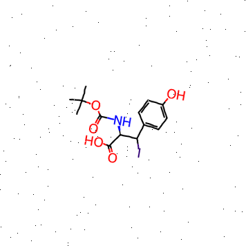 CC(C)(C)OC(=O)N[C@H](C(=O)O)C(I)c1ccc(O)cc1